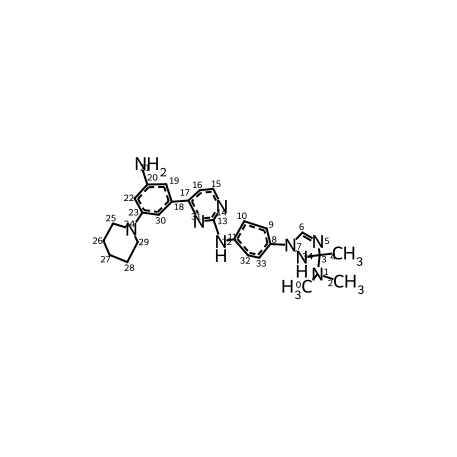 CN(C)C1(C)N=CN(c2ccc(Nc3nccc(-c4cc(N)cc(N5CCCCC5)c4)n3)cc2)N1